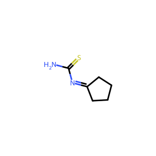 NC(=S)N=C1CCCC1